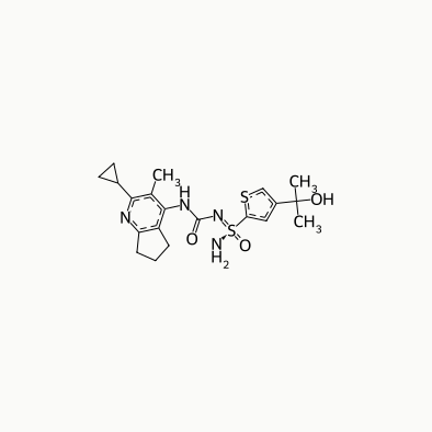 Cc1c(C2CC2)nc2c(c1NC(=O)N=[S@@](N)(=O)c1cc(C(C)(C)O)cs1)CCC2